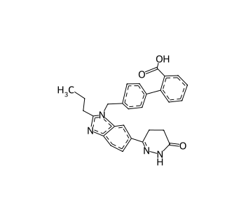 CCCc1nc2ccc(C3=NNC(=O)CC3)cc2n1Cc1ccc(-c2ccccc2C(=O)O)cc1